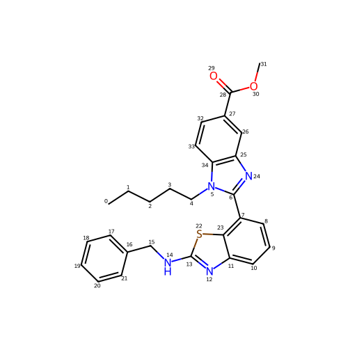 CCCCCn1c(-c2cccc3nc(NCc4ccccc4)sc23)nc2cc(C(=O)OC)ccc21